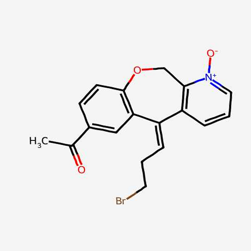 CC(=O)c1ccc2c(c1)C(=CCCBr)c1ccc[n+]([O-])c1CO2